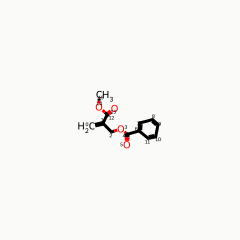 C=C(COC(=O)c1ccccc1)C(=O)OC